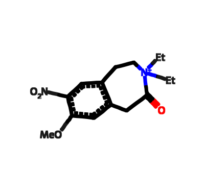 CC[N+]1(CC)CCc2cc([N+](=O)[O-])c(OC)cc2CC1=O